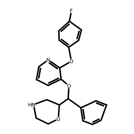 Fc1ccc(Oc2ncccc2OC(c2ccccc2)C2CNCCO2)cc1